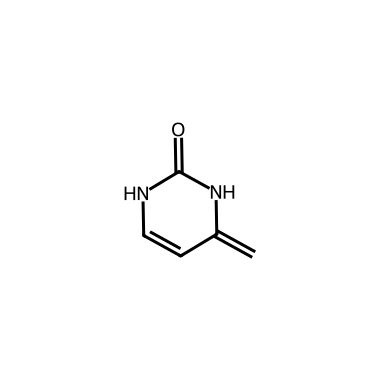 C=C1C=CNC(=O)N1